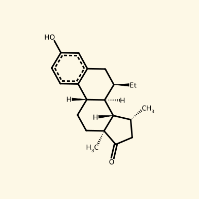 CC[C@@H]1Cc2cc(O)ccc2[C@H]2CC[C@]3(C)C(=O)C[C@@H](C)[C@H]3[C@H]12